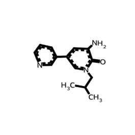 CC(C)Cn1cc(-c2cccnc2)cc(N)c1=O